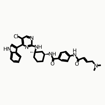 CN(C)C/C=C/C(=O)Nc1ccc(C(=O)N[C@H]2CCC[C@@](C)(Nc3ncc(Cl)c(-c4c[nH]c5ccccc45)n3)C2)cc1